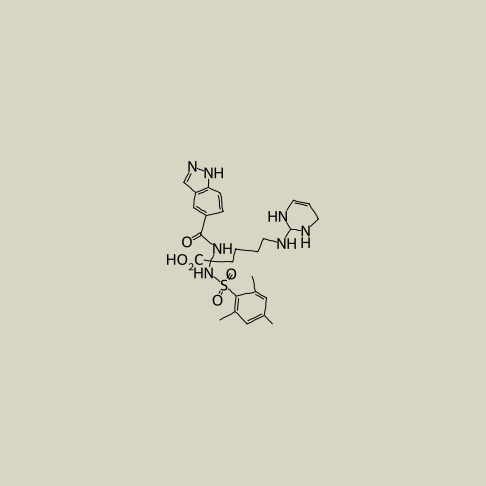 Cc1cc(C)c(S(=O)(=O)NC(CCCCNC2NC=CCN2)(NC(=O)c2ccc3[nH]ncc3c2)C(=O)O)c(C)c1